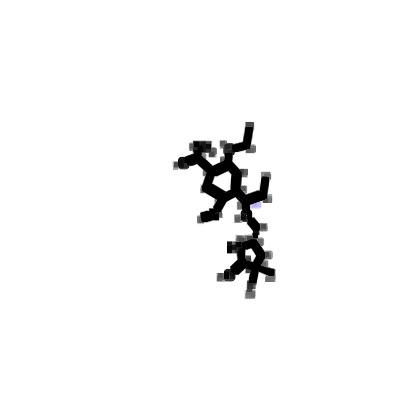 C=Nc1cc(C(N)=O)c(OCC)cc1/C(=C\C)OC[C@@H]1C[C@](C)(F)C(=O)N1